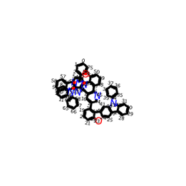 c1ccc(-c2nc(-c3ccccc3)nc(-c3cc(-c4cccc5oc6cc7c8ccccc8n(-c8ccccc8)c7cc6c45)cnc3-c3cccc4oc5cc6c7ccccc7n(-c7ccccc7)c6cc5c34)n2)cc1